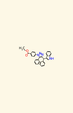 CCOC(=O)c1ccc(-n2nnc(C(c3ccccc3)c3c[nH]c4ccccc34)c2-c2ccccc2)cc1